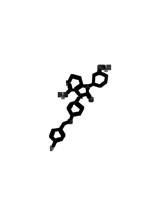 Nc1nccc2c1n(-c1ccc(OCc3ccc(F)cc3)cc1)c(=O)n2[C@@H]1CCCN(C(=O)O)C1